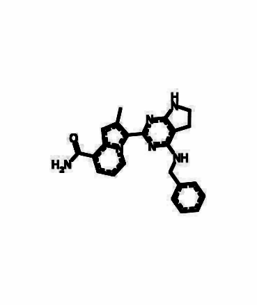 Cc1cc2c(C(N)=O)cccn2c1-c1nc2c(c(NCc3ccccc3)n1)CCN2